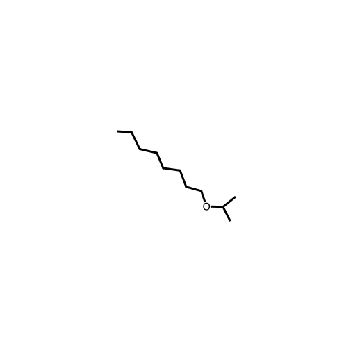 CCCCCCCCOC(C)C